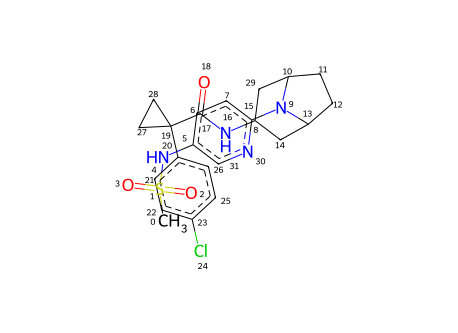 CS(=O)(=O)Nc1ccc(N2C3CCC2CC(NC(=O)C2(c4ccc(Cl)cc4)CC2)C3)nc1